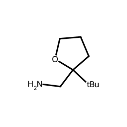 CC(C)(C)C1(CN)CCCO1